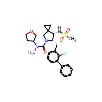 CN(C(=O)N1CC2(CC2)[C@H](NS(C)(=O)=O)[C@@H]1Cc1cccc(-c2ccccc2)c1F)[C@H]1CCOC1